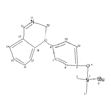 CC(C)(C)[Si](C)(C)Oc1ccc(C2CN=Cc3ccccc32)cc1